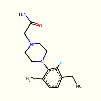 [C-]#[N+]Cc1ccc(C)c(N2CCN(CC(N)=O)CC2)c1F